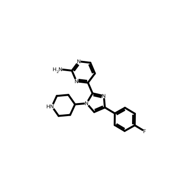 Nc1nccc(-c2nc(-c3ccc(F)cc3)cn2C2CCNCC2)n1